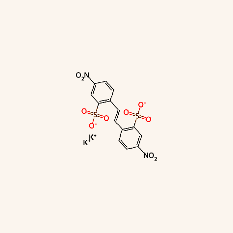 O=[N+]([O-])c1ccc(/C=C/c2ccc([N+](=O)[O-])cc2S(=O)(=O)[O-])c(S(=O)(=O)[O-])c1.[K+].[K+]